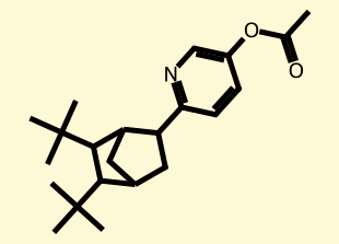 CC(=O)Oc1ccc(C2CC3CC2C(C(C)(C)C)C3C(C)(C)C)nc1